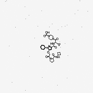 O=C(NC(C(=O)N1CCN(C(=O)O)CC1)C1CC1)c1cc(OCC(=O)N2CCCC2C(=O)NC2CCC2)n(-c2ccccc2)n1